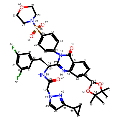 CC1(C)OB(c2ccc3c(=O)n(-c4ccc(S(=O)(=O)N5CCOCC5)cc4)c([C@H](Cc4cc(F)cc(F)c4)NC(=O)Cn4ccc(C5CC5)n4)nc3c2)OC1(C)C